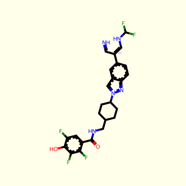 N=C/C(=C\NC(F)F)c1ccc2nn(C3CCC(CNC(=O)c4cc(F)c(O)c(F)c4F)CC3)cc2c1